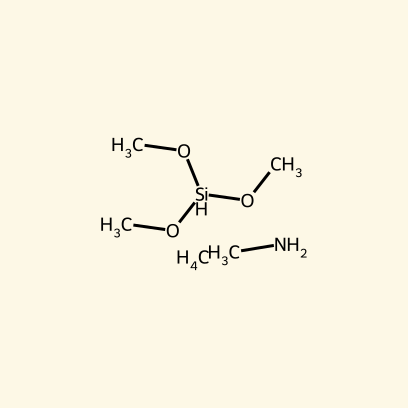 C.CN.CO[SiH](OC)OC